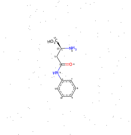 N[C@@H](CC(=O)Nc1ccccc1)C(=O)O